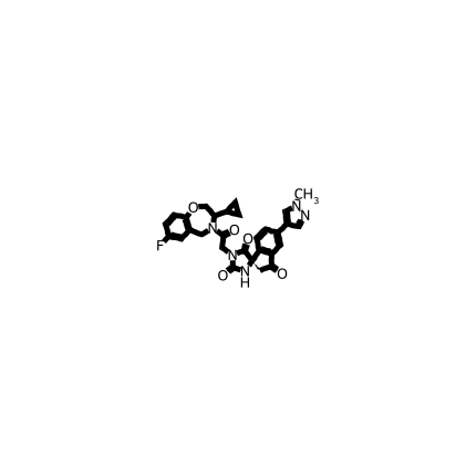 Cn1cc(-c2ccc3c(c2)C(=O)C[C@@]32NC(=O)N(CC(=O)N3Cc4cc(F)ccc4OCC3C3CC3)C2=O)cn1